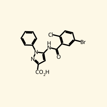 O=C(O)c1cc(NC(=O)c2cc(Br)ccc2Cl)n(-c2ccccc2)n1